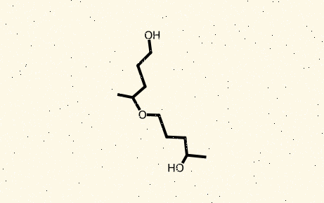 CC(O)CCCOC(C)CCCO